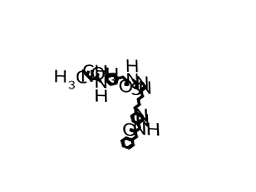 CN(C)CC(O)Nc1ccc(CC(=O)Nc2nnc(CCCCc3ccc(NC(=O)Cc4ccccc4)nn3)s2)cc1